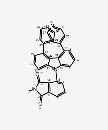 CN1C(=O)c2cccc(-n3c4cccc(-c5ccncc5)c4c4c(-c5ccncc5)cccc43)c2C1=O